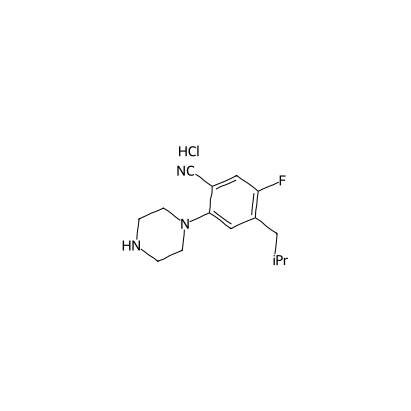 CC(C)Cc1cc(N2CCNCC2)c(C#N)cc1F.Cl